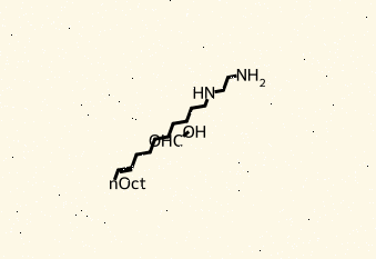 CCCCCCCCC=CCCCCCCCCNCCN.O=CO